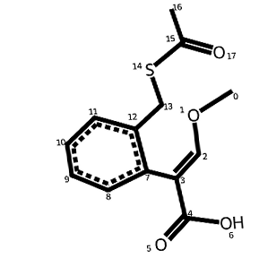 CO/C=C(/C(=O)O)c1ccccc1CSC(C)=O